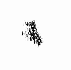 Cn1cc2c(c1C(=O)Nc1ccc(F)c(C#N)c1)C=CC(Cc1ccc(F)cc1)NS2=N